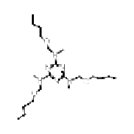 CCCCOCN(C)c1nc(N(C)COCCCC)nc(N(C)COCCCC)n1